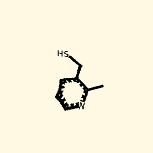 Cc1ncccc1CS